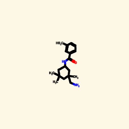 CC1(C)CC(NC(=O)c2cccc(C(=O)O)c2)CC(C)(CN)C1